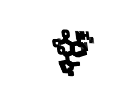 Cc1sccc1C(=O)c1ccnc(N)c1C(=O)Cl